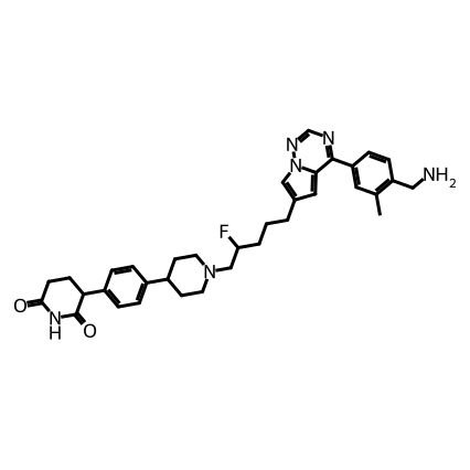 Cc1cc(-c2ncnn3cc(CCCC(F)CN4CCC(c5ccc(C6CCC(=O)NC6=O)cc5)CC4)cc23)ccc1CN